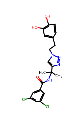 CC(C)(NC(=O)c1cc(Cl)cc(Cl)c1)c1cn(CCc2ccc(O)c(O)c2)nn1